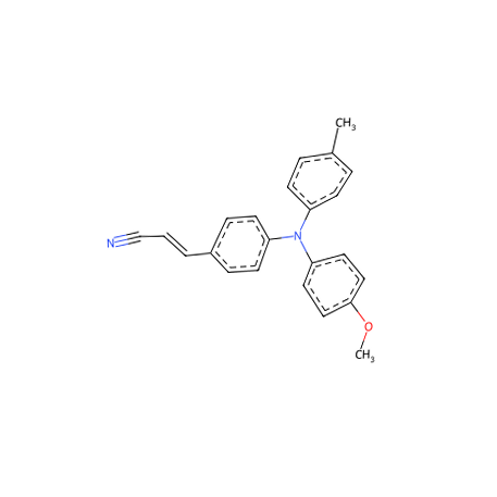 COc1ccc(N(c2ccc(C)cc2)c2ccc(/C=C/C#N)cc2)cc1